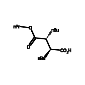 CCCC[C@H](C(=O)O)[C@@H](CCCC)C(=O)OCCC